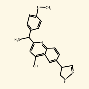 COc1ccc(C(N)c2nc(O)c3cc(C4C=NNC4)ccc3n2)cc1